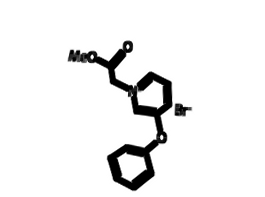 COC(=O)C[n+]1cccc(Oc2ccccc2)c1.[Br-]